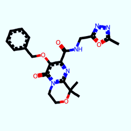 Cc1nnc(CNC(=O)c2nc3n(c(=O)c2OCc2ccccc2)CCOC3(C)C)o1